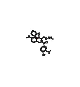 COc1ccc(CN(C(=O)c2ccc(Br)c(OC)n2)[C@H](CON)c2cc3ccccc3s2)cc1